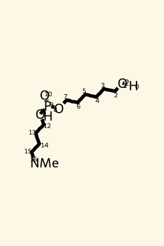 [2H]OCCCCCCO[PH](=O)OCCCCNC